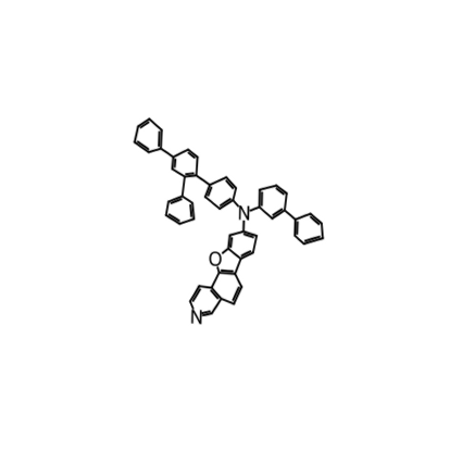 c1ccc(-c2cccc(N(c3ccc(-c4ccc(-c5ccccc5)cc4-c4ccccc4)cc3)c3ccc4c(c3)oc3c5ccncc5ccc43)c2)cc1